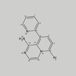 CC(=O)C1=C=CC(c2ccccn2)=C2C(N)=NC=CN12